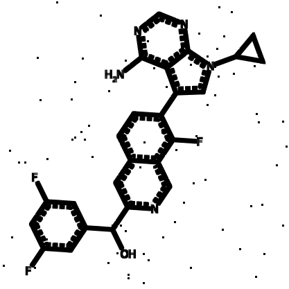 Nc1ncnc2c1c(-c1ccc3cc(C(O)c4cc(F)cc(F)c4)ncc3c1F)cn2C1CC1